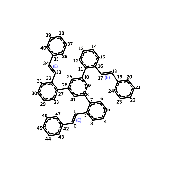 C(=C\c1ccccc1-c1cc(-c2ccccc2/C=C/c2ccccc2)cc(-c2ccccc2/C=C/c2ccccc2)c1)/c1ccccc1